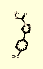 CC(C)(C)OC(=O)n1cc(-c2ccc(C=O)cc2)cn1